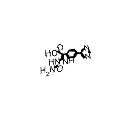 NC(=O)Nc1[nH]c2cc(-c3cncnc3)ccc2c1C(=O)O